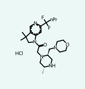 CCCC(F)(F)c1cc2c(cn1)C(C)(C)CN2C(=O)CN1C[C@@H](C)NC[C@@H]1CN1CCOCC1.Cl